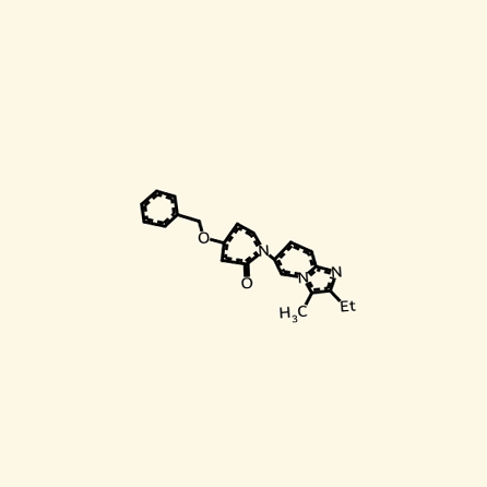 CCc1nc2ccc(-n3ccc(OCc4ccccc4)cc3=O)cn2c1C